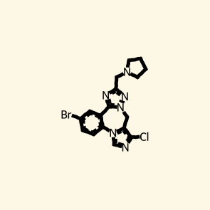 Clc1ncn2c1Cn1nc(CN3CCCC3)nc1-c1cc(Br)ccc1-2